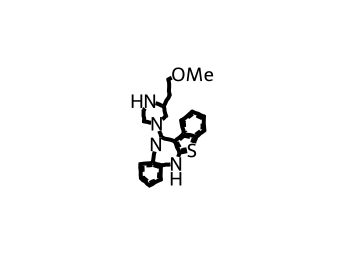 COCCC1CN(C2=Nc3ccccc3Nc3sc4ccccc4c32)CCN1